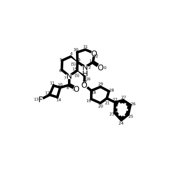 O=C1N[C@@]2(CCCN(C(=O)C3CC(F)C3)[C@@H]2COC2CCC(c3ccccc3)CC2)CCO1